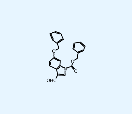 O=Cc1cn(C(=O)OCc2ccccc2)c2cc(OCc3ccccc3)ccc12